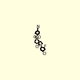 N#Cc1ccc(S(=O)(=O)N2CCCC3(CCN(c4ccc(Cl)cc4F)C3=O)C2)cc1